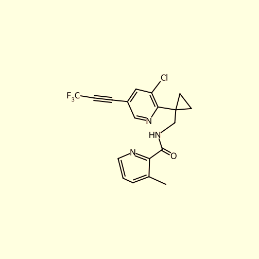 Cc1cccnc1C(=O)NCC1(c2ncc(C#CC(F)(F)F)cc2Cl)CC1